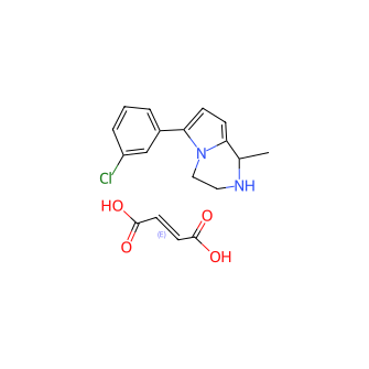 CC1NCCn2c(-c3cccc(Cl)c3)ccc21.O=C(O)/C=C/C(=O)O